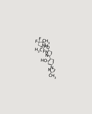 Cc1ccn(-c2ccc(-c3ccc(OC4CC5(C)NC(C)(CC5(F)F)C4F)nn3)c(O)c2)n1